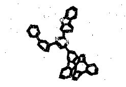 c1ccc(-c2cccc(-c3cc(-c4ccc5c(c4)-c4ccccc4C54c5ccccc5-c5ccccc5-c5ccccc54)nc(-c4ccc5c(c4)oc4ccccc45)n3)c2)cc1